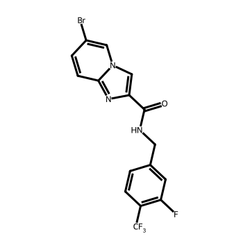 O=C(NCc1ccc(C(F)(F)F)c(F)c1)c1cn2cc(Br)ccc2n1